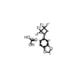 FC1(F)CC(c2ccc3c(c2)OCO3)C1(F)F.O=C(O)O